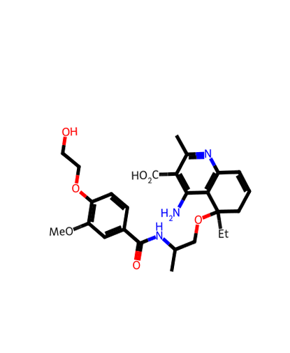 CCC1(OCC(C)NC(=O)c2ccc(OCCO)c(OC)c2)CC=Cc2nc(C)c(C(=O)O)c(N)c21